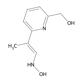 CC(=CNO)c1cccc(CO)n1